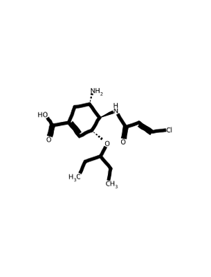 CCC(CC)O[C@@H]1C=C(C(=O)O)C[C@H](N)[C@H]1NC(=O)/C=C/Cl